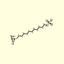 C1CN1.CCCCCCCCCCCCOS(=O)(=O)[O-].[Na+]